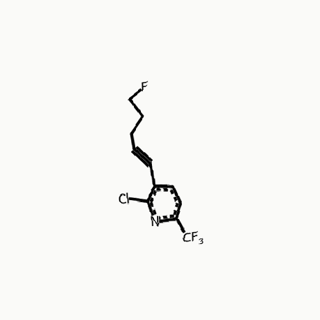 FCCCC#Cc1ccc(C(F)(F)F)nc1Cl